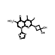 Cc1c(F)c(N2CC(O)(O)C2)nc2c1c(=O)c(C(=O)O)cn2-c1ncns1